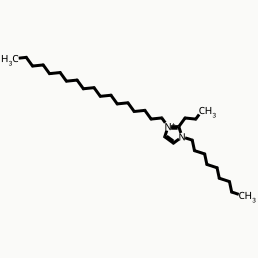 CCCCCCCCCCCCCCCCCC[n+]1ccn(CCCCCCCCC)c1CCC